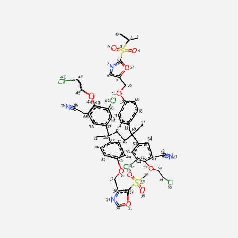 CC(C)S(=O)(=O)c1ncc(COc2ccc(C(C)(CCC(C)(c3ccc(OCc4ncoc4S(C)(=O)=O)cc3)c3cc(Cl)c(OCCCl)c(C#N)c3)c3cc(Cl)c(OCCCl)c(C#N)c3)cc2)o1